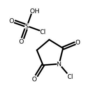 O=C1CCC(=O)N1Cl.O=S(=O)(O)Cl